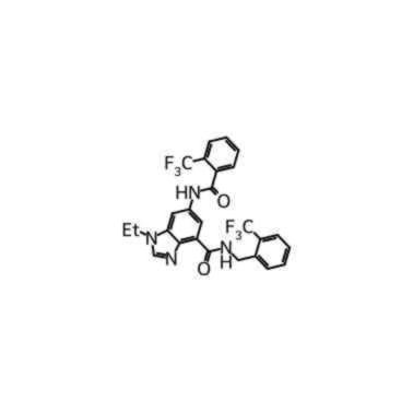 CCn1cnc2c(C(=O)NCc3ccccc3C(F)(F)F)cc(NC(=O)c3ccccc3C(F)(F)F)cc21